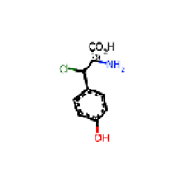 N[C@@H](C(=O)O)C(Cl)c1ccc(O)cc1